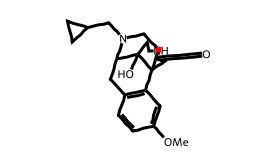 COc1ccc2c(c1)C13CCN(CC4CC4)C(C2)C1(O)CCNC(=O)C3